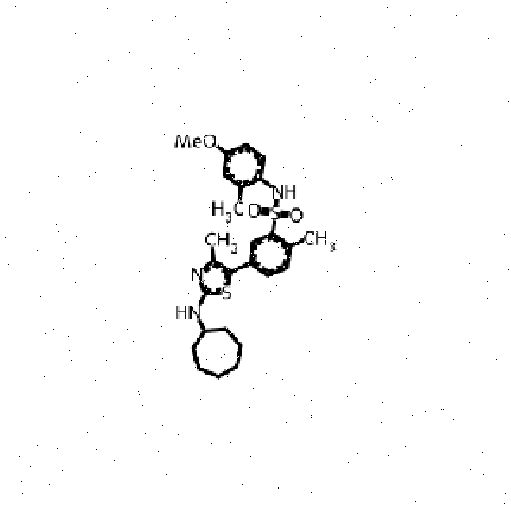 COc1ccc(NS(=O)(=O)c2cc(-c3sc(NC4CCCCCC4)nc3C)ccc2C)c(C)c1